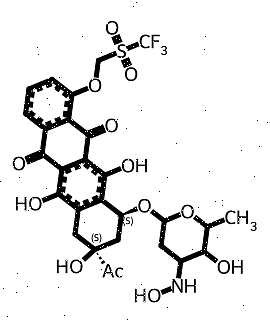 CC(=O)[C@]1(O)Cc2c(O)c3c(c(O)c2[C@@H](OC2CC(NO)C(O)C(C)O2)C1)C(=O)c1c(OCS(=O)(=O)C(F)(F)F)cccc1C3=O